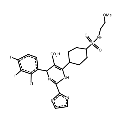 COCCNS(=O)(=O)C1CCC(C2=C(C(=O)O)C(c3ccc(F)c(F)c3Cl)N=C(c3nccs3)N2)CC1